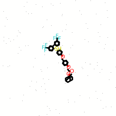 CC1(OC(=O)COc2ccc(COc3ccc([SH]4c5ccc(C(F)(F)F)cc5-c5cc(C(F)(F)F)ccc54)cc3)cc2)C2CC3CC(C2)CC1C3